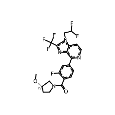 CO[C@H]1CCN(C(=O)c2ccc(-c3nccc4c3nc(C(F)(F)F)n4CC(F)F)cc2F)C1